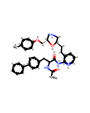 COC(=O)NC(Cc1ccc(-c2ccccc2)cc1)C(=O)Nc1ncccc1CC[C@@H]1CNC[C@@H](COc2ccc(C#N)cc2)O1